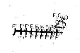 CC(F)C(F)(F)C(F)(F)C(F)(F)C(F)(F)C(F)(F)C(F)(F)C(F)(F)C(F)(F)[Si](OS(=O)(=O)C(F)(F)F)(C(C)C)C(C)C